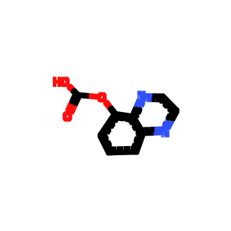 O=C(O)Oc1cccc2nccnc12